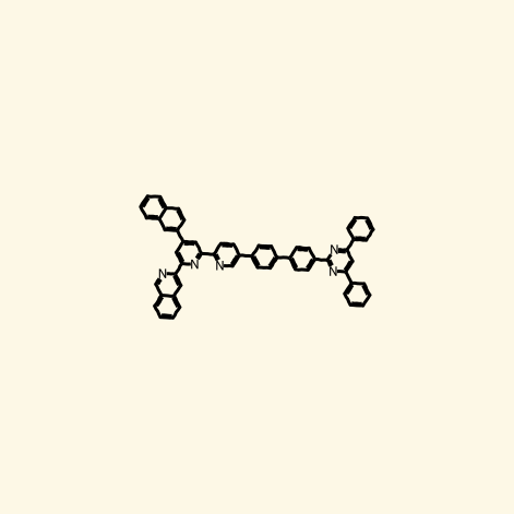 c1ccc(-c2cc(-c3ccccc3)nc(-c3ccc(-c4ccc(-c5ccc(-c6cc(-c7ccc8ccccc8c7)cc(-c7cc8ccccc8cn7)n6)nc5)cc4)cc3)n2)cc1